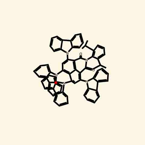 CC(C)c1cccc(C(C)C)c1N1C(=O)c2c(-n3c4ccccc4c4ccccc43)cc(-n3c4ccccc4c4ccccc43)c3c(-n4c5ccccc5c5ccccc54)cc(-n4c5ccccc5c5ccccc54)c(c23)C1=O